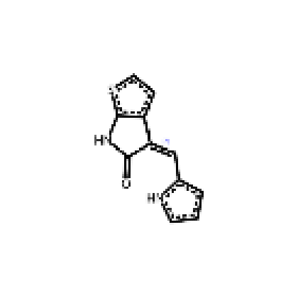 O=C1Nc2sccc2/C1=C/c1ccc[nH]1